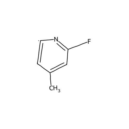 Cc1c[c]nc(F)c1